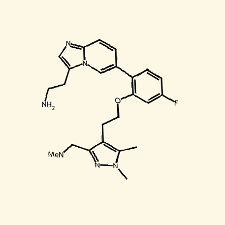 CNCc1nn(C)c(C)c1CCOc1cc(F)ccc1-c1ccc2ncc(CCN)n2c1